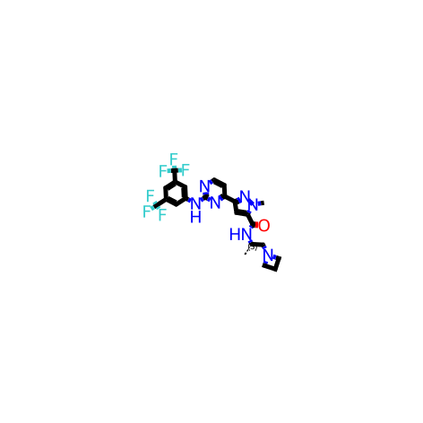 C[C@@H](CN1CCC1)NC(=O)c1cc(-c2ccnc(Nc3cc(C(F)(F)F)cc(C(F)(F)F)c3)n2)nn1C